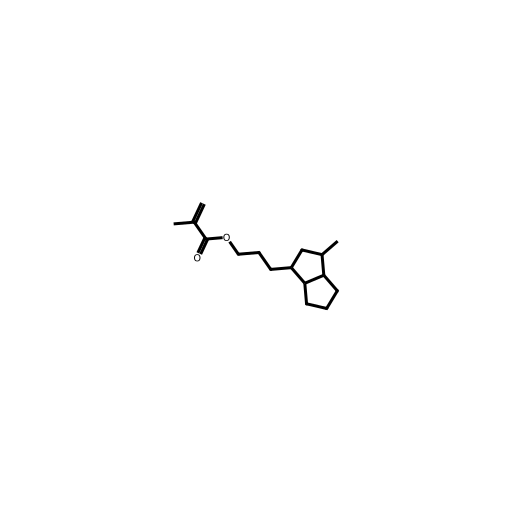 C=C(C)C(=O)OCCCC1CC(C)C2CCCC12